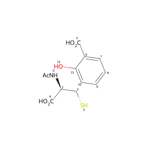 CC(=O)N[C@@H](CS)C(=O)O.O=C(O)c1ccccc1O